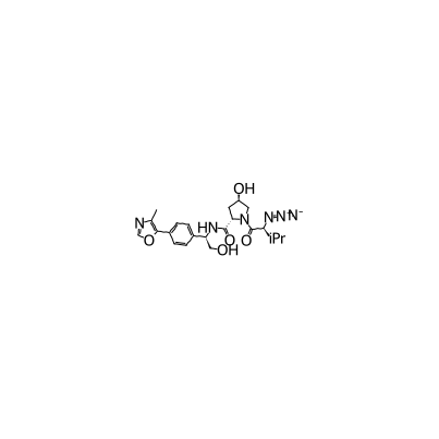 Cc1ncoc1-c1ccc([C@H](CO)NC(=O)[C@@H]2C[C@@H](O)CN2C(=O)[C@@H](N=[N+]=[N-])C(C)C)cc1